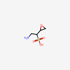 NCC(C1CO1)S(=O)(=O)O